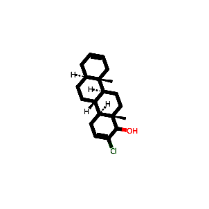 C[C@]12CC=CC[C@@H]1CC[C@@H]1[C@@H]2CC[C@]2(C)C(O)C(Cl)=CC[C@@H]12